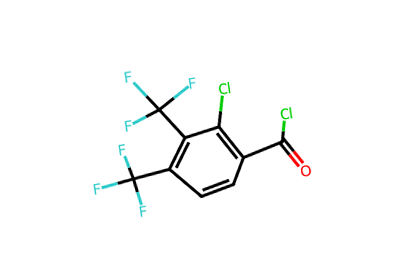 O=C(Cl)c1ccc(C(F)(F)F)c(C(F)(F)F)c1Cl